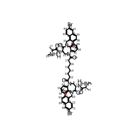 CN[C@@H](C)C(=O)N[C@H]1CN(C(=O)CCCCCCC(=O)N2C[C@H](NC(=O)[C@H](C)NC)C(=O)N(Cc3c(OC)ccc4cc(Br)ccc34)c3ccccc32)c2ccccc2N(Cc2c(OC)ccc3cc(Br)ccc23)C1=O